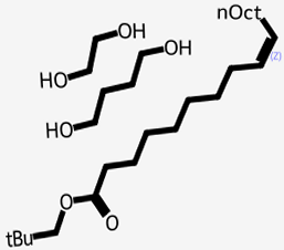 CCCCCCCC/C=C\CCCCCCCC(=O)OCC(C)(C)C.OCCCCO.OCCO